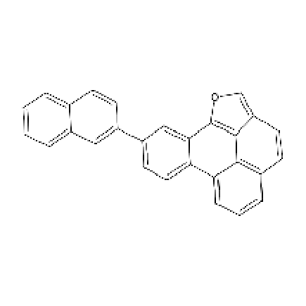 c1ccc2cc(-c3ccc4c(c3)c3occ5ccc6cccc4c6c53)ccc2c1